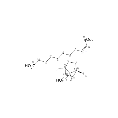 CC1(C)[C@@H]2CC[C@]1(C)[C@@H](O)C2.CCCCCCCC/C=C\CCCCCCCC(=O)O